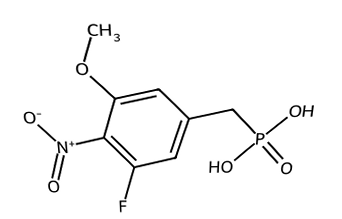 COc1cc(CP(=O)(O)O)cc(F)c1[N+](=O)[O-]